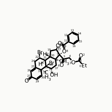 CCC(=O)OCC(=O)[C@]1(OC(=O)c2ccccc2)[C@H](C)C[C@H]2[C@@H]3[C@H](Br)CC4=CC(=O)C=C[C@]4(C)[C@@]3(Br)[C@@H](O)C[C@@]21C